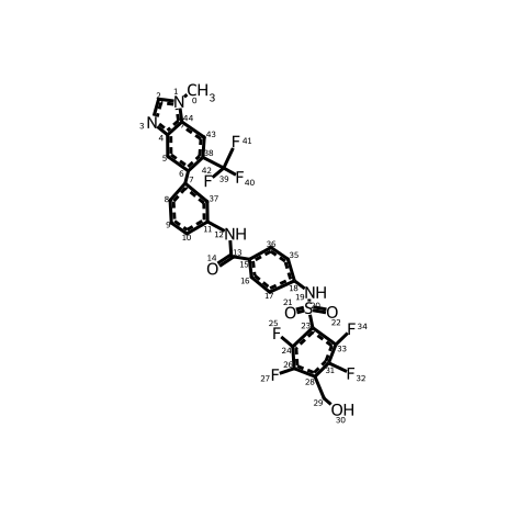 Cn1cnc2cc(-c3cccc(NC(=O)c4ccc(NS(=O)(=O)c5c(F)c(F)c(CO)c(F)c5F)cc4)c3)c(C(F)(F)F)cc21